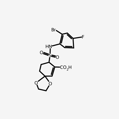 O=C(O)C1=CC2(CCC1S(=O)(=O)Nc1ccc(F)cc1Br)OCCO2